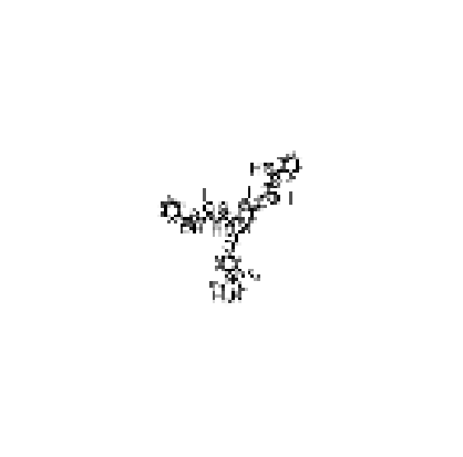 CCn1c(CN)[n+](CC)c2cc(OCCCN(C[C@H](O)CC[C@H](O)COC(O)c3ccccc3)C[C@H](O)[C@@H](O)C[C@H](O)COC(O)c3ccccc3)ccc21